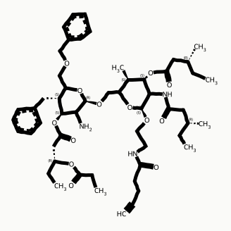 C#CCCC(=O)NCCO[C@H]1OC(CO[C@@H]2OC(COCc3ccccc3)[C@@H](Cc3ccccc3)[C@H](OC(=O)C[C@@H](CC)OC(=O)CC)C2N)[C@@H](C)[C@H](OC(=O)C[C@H](C)CC)C1NC(=O)C[C@H](C)CC